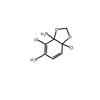 NC1=C(Cl)C2(N)OCOC2(Cl)C=C1